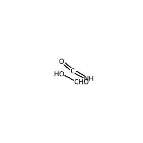 N=C=O.O=[C]O